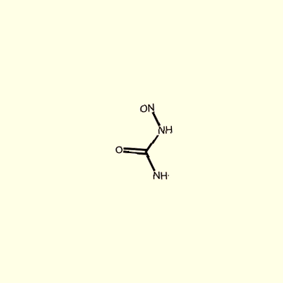 [NH]C(=O)NN=O